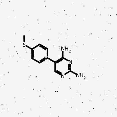 CSc1ccc(-c2cnc(N)nc2N)cc1